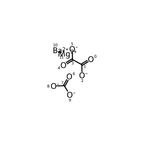 O=C([O-])C(=O)[O-].O=C([O-])[O-].[Ba+2].[Mg+2]